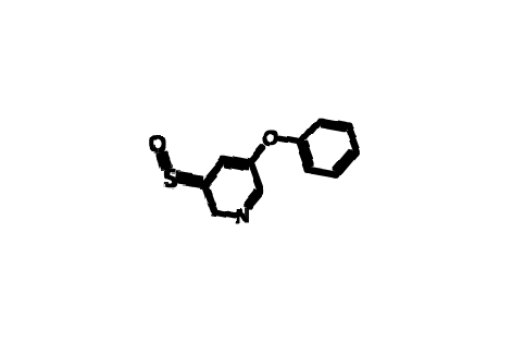 O=S=C1C=C(Oc2ccccc2)C=NC1